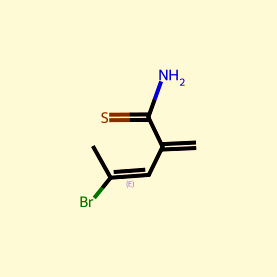 C=C(/C=C(\C)Br)C(N)=S